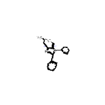 C=C/C=c1/nc(-c2ccccc2)n(-c2ccccc2)/c1=C/C